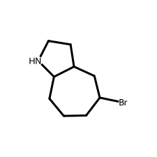 BrC1CCCC2NCCC2C1